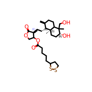 C=C1CCC2C(C)(CO)[C@H](O)CC[C@@]2(C)[C@@H]1C/C=C1/C(=O)OCC1OC(=O)CCCCC1CCSS1